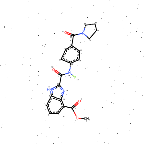 COC(=O)c1cccc2[nH]c(C(=O)N(F)c3ccc(C(=O)N4CCCC4)cc3)nc12